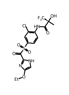 CCOc1c[nH]c(C(=O)S(=O)(=O)c2ccc(NC(=O)[C@@](C)(O)C(F)(F)F)c(Cl)c2)n1